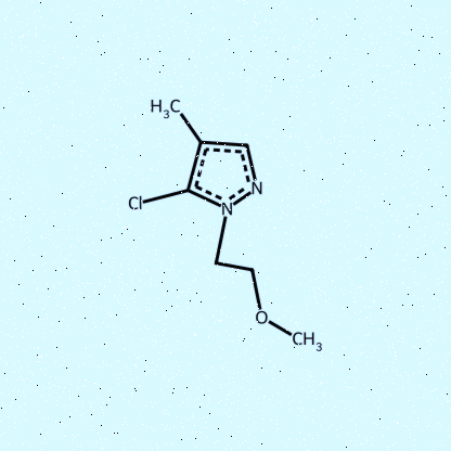 COCCn1ncc(C)c1Cl